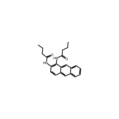 CCCC(=O)Nc1ccc2cc3ccccc3cc2c1NC(=O)CCC